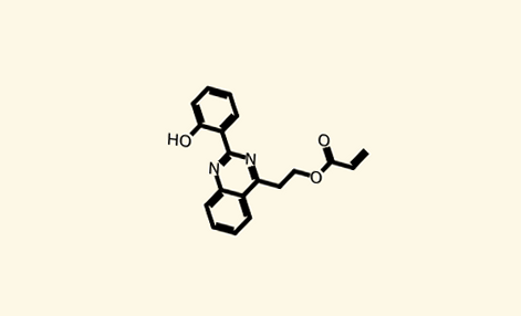 C=CC(=O)OCCc1nc(-c2ccccc2O)nc2ccccc12